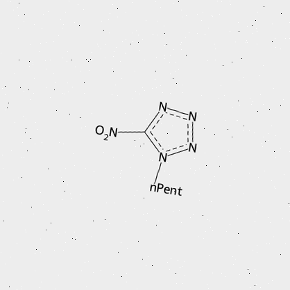 CCCCCn1nnnc1[N+](=O)[O-]